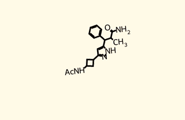 CC(=O)NC1CC(c2cc(C(c3ccccc3)C(C)C(N)=O)[nH]n2)C1